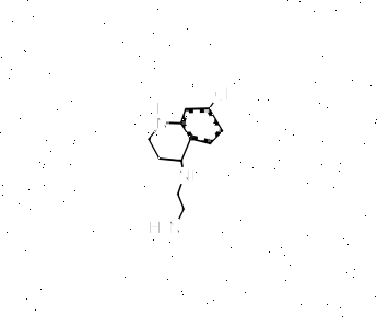 NCCNC1CCNc2cc(Cl)ccc21